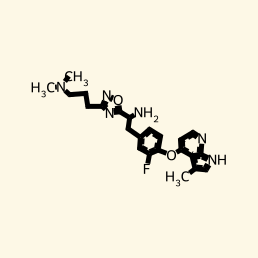 Cc1c[nH]c2nccc(Oc3ccc(CC(N)c4nc(CCCN(C)C)no4)cc3F)c12